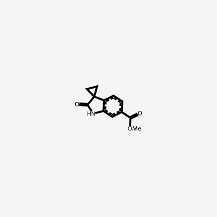 COC(=O)c1ccc2c(c1)NC(=O)C21CC1